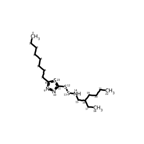 CCCCCCCCc1nnc(SSNCC(CC)CCCC)s1